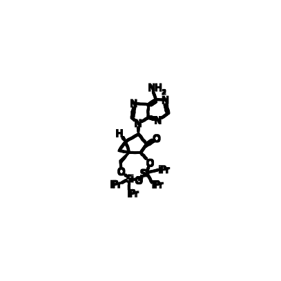 CC(C)[Si]1(C(C)C)OC[C@@]23C[C@@H]2[C@@H](n2cnc4c(N)ncnc42)C(=O)C3O[Si](C(C)C)(C(C)C)O1